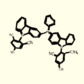 N#Cc1cc(C#N)c(-n2c3ccccc3c3cc(N(c4ccccc4)c4ccc5c(c4)c4ccccc4n5-c4c(C#N)cc(C#N)cc4C#N)ccc32)c(C#N)c1